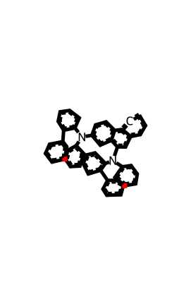 c1ccc(-c2ccccc2N(c2ccccc2)c2ccc3c(c2)c(N(c2ccccc2)c2ccccc2-c2ccccc2)cc2ccccc23)cc1